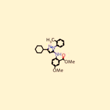 COC(=O)c1cc(OC)ccc1Nc1cc(C2CCCCC2)nn1-c1ccccc1C